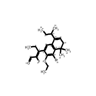 CCOc1c(C(CC)=C(F)C=O)cc2c(c1Br)C(C)(C)CC=C2C(C)CC